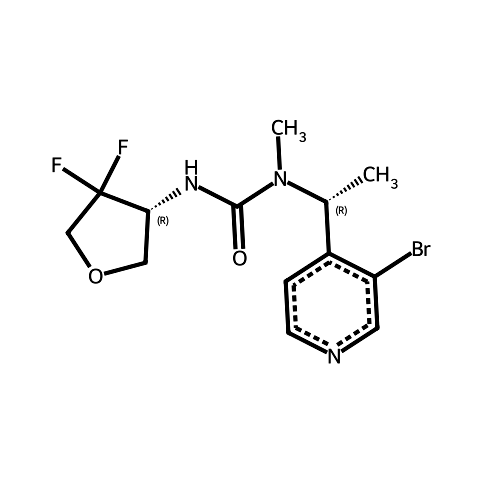 C[C@H](c1ccncc1Br)N(C)C(=O)N[C@@H]1COCC1(F)F